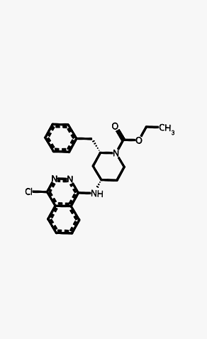 CCOC(=O)N1CC[C@H](Nc2nnc(Cl)c3ccccc23)C[C@@H]1Cc1ccccc1